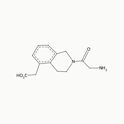 NCC(=O)N1CCc2c(CC(=O)O)cccc2C1